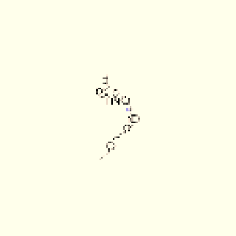 CCCCc1ccc(CCCCOCc2cccc(/C=C/c3cccc(NC(=O)CC(CC)(CC)C(=O)O)c3)n2)cc1